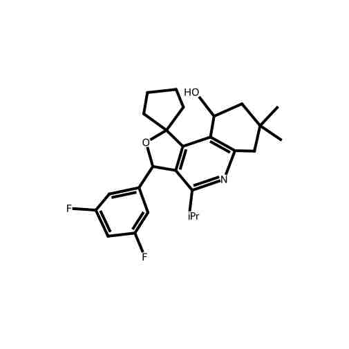 CC(C)c1nc2c(c3c1C(c1cc(F)cc(F)c1)OC31CCCC1)C(O)CC(C)(C)C2